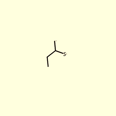 [CH2]C([S])CC